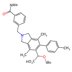 CNC(=O)c1cccc(CN2Cc3c(C)c(-c4ccc(C)cc4)c(C(OC(C)(C)C)C(=O)O)c(C)c3C2)c1